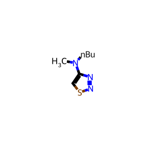 CCCCN(C)c1csnn1